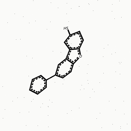 Sc1ccc2oc3ccc(-c4ccccc4)cc3c2c1